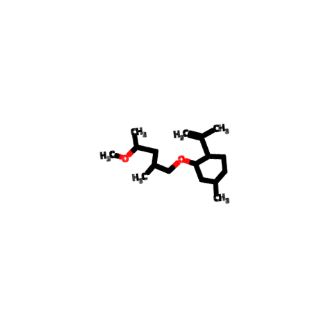 C=C(C)C1CCC(C)CC1OCC(C)CC(C)OC